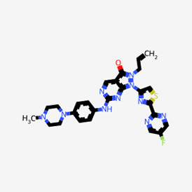 C=CCn1c(=O)c2cnc(Nc3ccc(N4CCN(C)CC4)cc3)nc2n1-c1csc(-c2ncc(F)cn2)n1